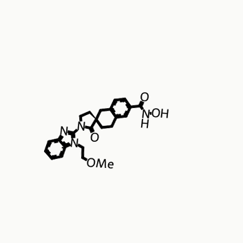 COCCn1c(N2CC[C@@]3(CCc4cc(C(=O)NO)ccc4C3)C2=O)nc2ccccc21